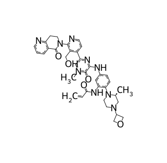 C=CC(=O)Nc1cc(Nc2nc(-c3ccnc(N4CCc5ncccc5C4=O)c3CO)cn(C)c2=O)ccc1N1CCN(C2COC2)C[C@@H]1C